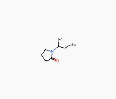 CC(C)C(CC(C)(C)C)N1CCCC1=O